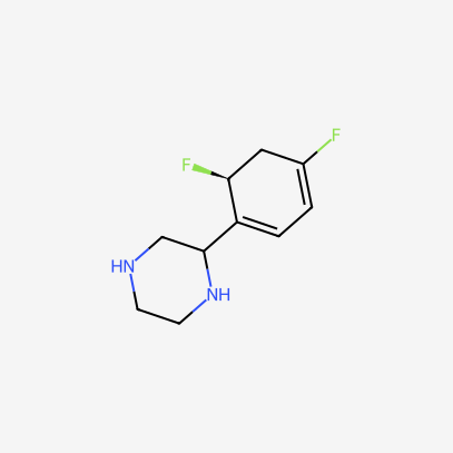 FC1=CC=C(C2CNCCN2)[C@@H](F)C1